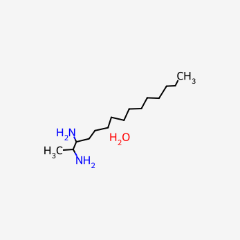 CCCCCCCCCCCCC(N)C(C)N.O